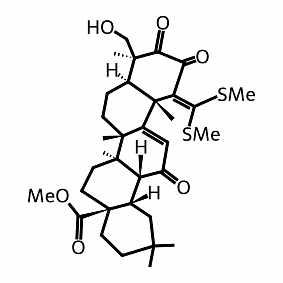 COC(=O)[C@]12CCC(C)(C)C[C@H]1[C@H]1C(=O)C=C3[C@@]4(C)C(=C(SC)SC)C(=O)C(=O)[C@](C)(CO)[C@@H]4CC[C@@]3(C)[C@]1(C)CC2